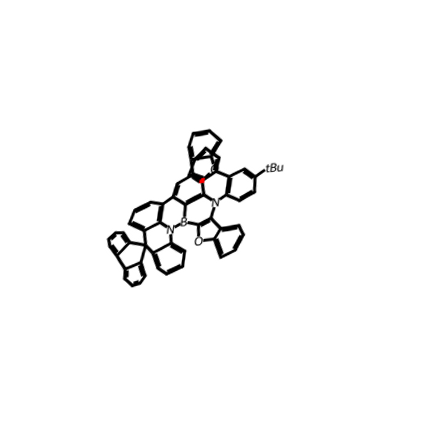 CC(C)(C)c1ccc(N2c3c(oc4ccccc34)B3c4c(cc5c(oc6ccccc65)c42)-c2cccc4c2N3c2ccccc2C42c3ccccc3-c3ccccc32)c(-c2ccccc2)c1